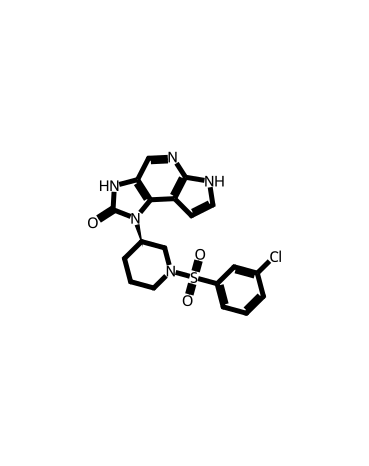 O=c1[nH]c2cnc3[nH]ccc3c2n1[C@@H]1CCCN(S(=O)(=O)c2cccc(Cl)c2)C1